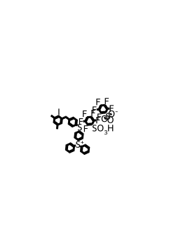 Cc1cc(C)c(I)c(Cc2ccc(Sc3ccc([S+](c4ccccc4)c4ccccc4)cc3)cc2)c1.O=S(=O)(O)c1c(F)c(F)c(F)c(F)c1F.O=S(=O)([O-])c1c(F)c(F)c(F)c(F)c1F